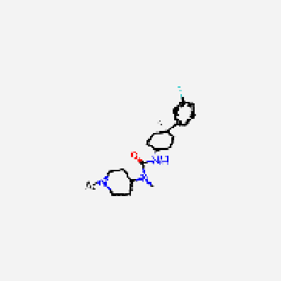 CC(=O)N1CCC(N(C)C(=O)N[C@H]2CC[C@](C)(c3cccc(F)c3)CC2)CC1